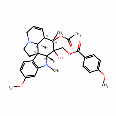 CC[C@]12C=CCN3CC[C@@]4(c5ccc(OC)cc5N(C)[C@H]4C(O)(COC(=O)c4ccc(OC)cc4)[C@@H]1OC(C)=O)[C@@H]32